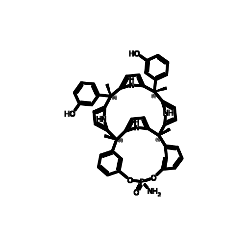 C[C@]1(c2cccc(O)c2)c2ccc([nH]2)[C@@](C)(c2cccc(O)c2)c2ccc([nH]2)[C@@]2(C)c3cccc(c3)OP(N)(=O)Oc3cccc(c3)[C@@](C)(c3ccc1[nH]3)c1ccc2[nH]1